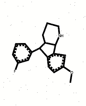 COc1ccc2c(c1)C1NCCCC1C2c1cccc(F)c1